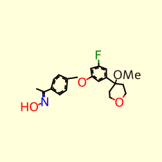 COC1(c2cc(F)cc(OCc3ccc(C(C)=NO)cc3)c2)CCOCC1